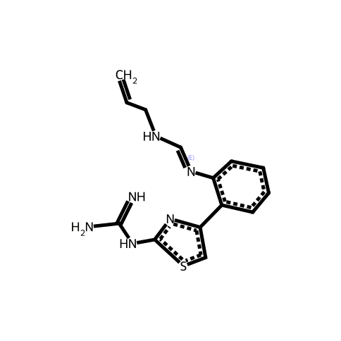 C=CCN/C=N/c1ccccc1-c1csc(NC(=N)N)n1